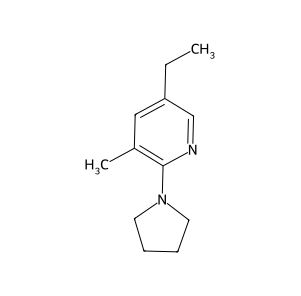 CCc1cnc(N2CCCC2)c(C)c1